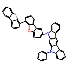 c1ccc(-n2c3ccccc3c3cc4c5ccccc5n(-c5ccc6oc7c(-c8cccc9c8sc8ccccc89)cccc7c6c5)c4cc32)cc1